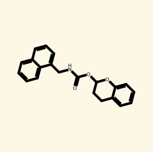 O=C(NCc1cccc2ccccc12)OC1CCc2ccccc2O1